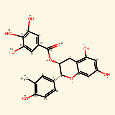 Cc1cc([C@H]2Oc3cc(O)cc(O)c3C[C@@H]2OC(=O)c2cc(O)c(O)c(O)c2)ccc1O